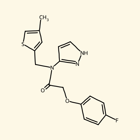 Cc1csc(CN(C(=O)COc2ccc(F)cc2)c2cc[nH]n2)c1